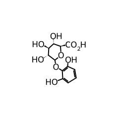 O=C(O)[C@H]1OC(Oc2c(O)cccc2O)[C@H](O)[C@@H](O)[C@@H]1O